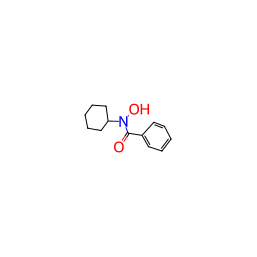 O=C(c1ccccc1)N(O)C1CCCCC1